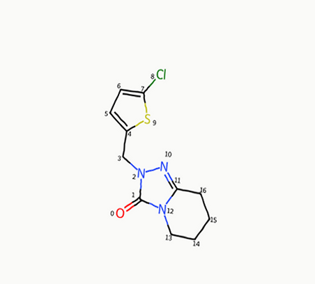 O=c1n(Cc2ccc(Cl)s2)nc2n1CCCC2